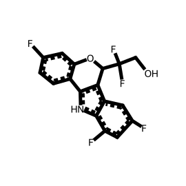 OCC(F)(F)C1Oc2cc(F)ccc2-c2[nH]c3c(F)cc(F)cc3c21